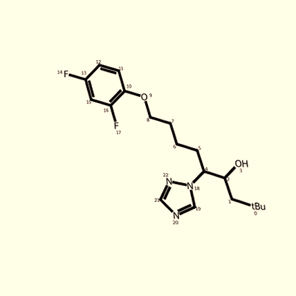 CC(C)(C)CC(O)C(CCCCOc1ccc(F)cc1F)n1cncn1